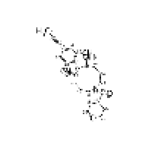 CC#Cc1cc(C)c(C2C(=O)CCCN(C(=O)C3CCOCC3)CCCC2O)c(C)c1